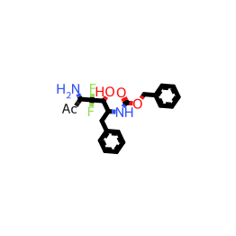 CC(=O)C(N)C(F)(F)C(O)C(Cc1ccccc1)NC(=O)OCc1ccccc1